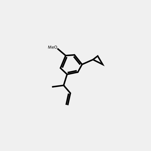 C=C[C](C)c1cc(OC)cc(C2CC2)c1